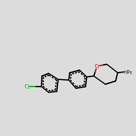 CCCC1CCC(c2ccc(-c3ccc(Cl)cc3)cc2)OC1